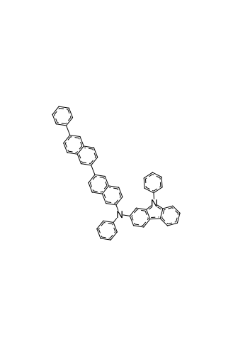 c1ccc(-c2ccc3cc(-c4ccc5cc(N(c6ccccc6)c6ccc7c8ccccc8n(-c8ccccc8)c7c6)ccc5c4)ccc3c2)cc1